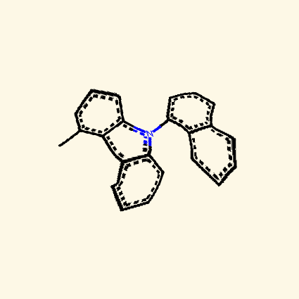 Cc1cccc2c1c1ccccc1n2-c1cccc2ccccc12